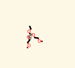 CCO[SiH](OCCOC)OCCOC